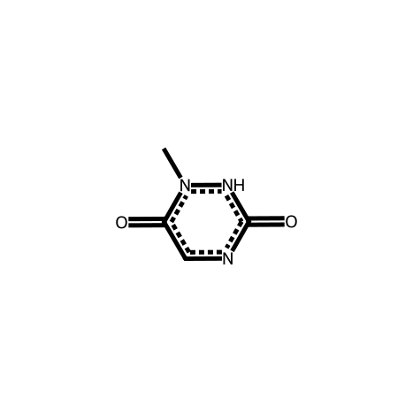 Cn1[nH]c(=O)ncc1=O